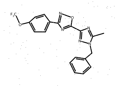 Cc1nc(-c2nc(-c3ccc(OC(F)(F)F)cc3)no2)nn1Cc1ccccc1